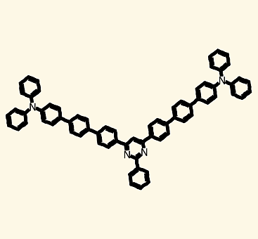 c1ccc(-c2nc(-c3ccc(-c4ccc(-c5ccc(N(c6ccccc6)c6ccccc6)cc5)cc4)cc3)cc(-c3ccc(-c4ccc(-c5ccc(N(c6ccccc6)c6ccccc6)cc5)cc4)cc3)n2)cc1